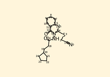 N#CCSc1nc2ccccc2c(=O)n1NC(=O)CCC1CCCC1